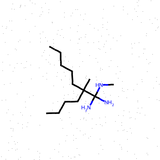 CCCCCC(C)(CCCC)C(N)(N)NC